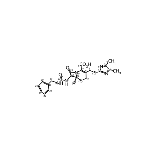 Cc1nc(SCC2=C(C(=O)O)N3C(=O)C(NC(=O)NCc4ccccc4)[C@H]3SC2)nn1C